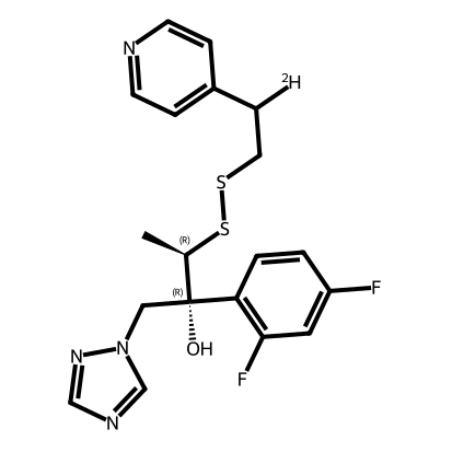 [2H]C(CSS[C@H](C)[C@](O)(Cn1cncn1)c1ccc(F)cc1F)c1ccncc1